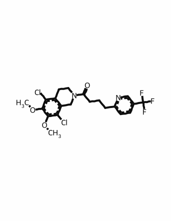 COc1c(Cl)c2c(c(Cl)c1OC)CN(C(=O)CCCc1ccc(C(F)(F)F)cn1)CC2